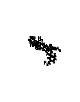 Cc1nc(O[C@H]2CC[C@H](c3cc(C(F)(F)F)ccc3F)C[C@@H]2N(C)C)ccc1S(=O)(=O)Nc1ccncn1